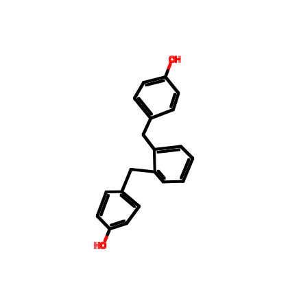 Oc1ccc(Cc2ccccc2Cc2ccc(O)cc2)cc1